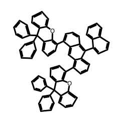 c1ccc(C2(c3ccccc3)c3ccccc3Oc3c(-c4cccc5c(-c6cccc7ccccc67)c6cccc(-c7cccc8c7Oc7ccccc7C8(c7ccccc7)c7ccccc7)c6cc45)cccc32)cc1